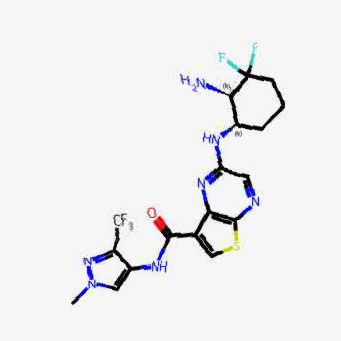 Cn1cc(NC(=O)c2csc3ncc(N[C@@H]4CCCC(F)(F)[C@@H]4N)nc23)c(C(F)(F)F)n1